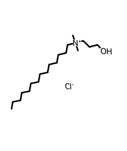 CCCCCCCCCCCCCC[N+](C)(C)CCCO.[Cl-]